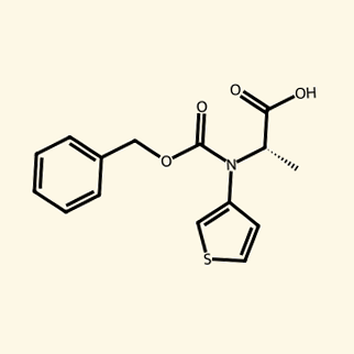 C[C@@H](C(=O)O)N(C(=O)OCc1ccccc1)c1ccsc1